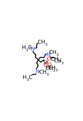 CCCN(C)CCCC(CCCN(C)CCC)(CCCN(C)CCC)CC[Si](OC)(OC)OC